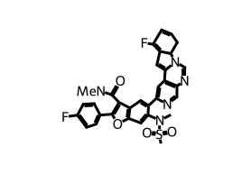 CNC(=O)c1c(-c2ccc(F)cc2)oc2cc(N(C)S(C)(=O)=O)c(-c3cc4c(cn3)N=CN3C4=CC4=C(F)C=CCC43)cc12